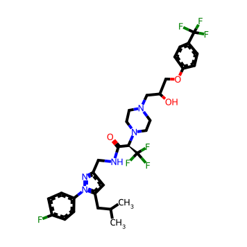 CC(C)Cc1cc(CNC(=O)[C@@H](N2CCN(CC(O)COc3ccc(C(F)(F)F)cc3)CC2)C(F)(F)F)nn1-c1ccc(F)cc1